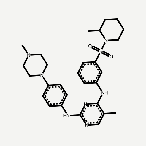 Cc1cnc(Nc2ccc(N3CCN(C)CC3)cc2)nc1Nc1cccc(S(=O)(=O)N2CCCCC2C)c1